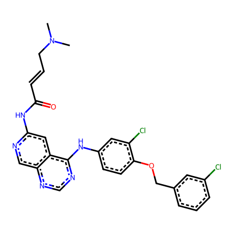 CN(C)CC=CC(=O)Nc1cc2c(Nc3ccc(OCc4cccc(Cl)c4)c(Cl)c3)ncnc2cn1